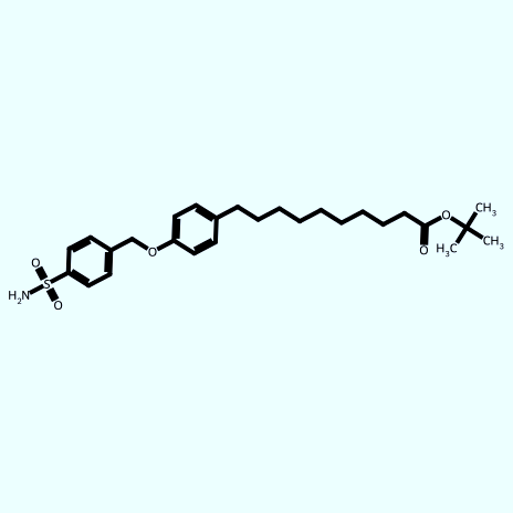 CC(C)(C)OC(=O)CCCCCCCCCc1ccc(OCc2ccc(S(N)(=O)=O)cc2)cc1